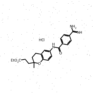 CCOC(=O)CCC1(C)CCc2cc(NC(=O)c3ccc(C(=N)N)cc3)ccc2O1.Cl